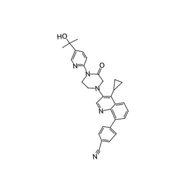 CC(C)(O)c1ccc(N2CCN(c3cnc4c(-c5ccc(C#N)cc5)cccc4c3C3CC3)CC2=O)nc1